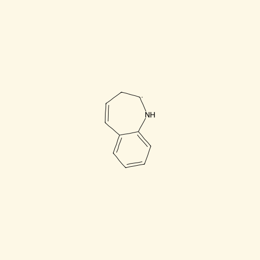 [CH]1CC=Cc2ccccc2N1